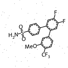 COc1cc(-c2cc(F)c(F)cc2-c2ccc(S(N)(=O)=O)cc2)ccc1C(F)(F)F